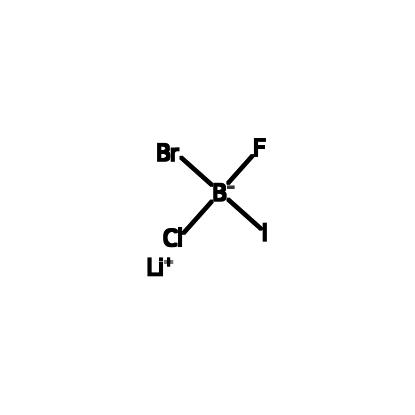 F[B-](Cl)(Br)I.[Li+]